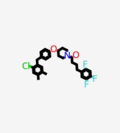 Cc1cc(Cl)c(Cc2ccc(OC3CCN(C(=O)CCCc4cc(F)c(F)cc4F)CC3)cc2)cc1C